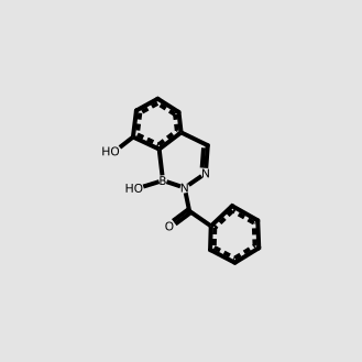 O=C(c1ccccc1)N1N=Cc2cccc(O)c2B1O